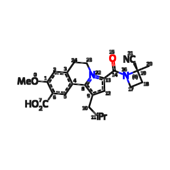 COc1cc2c(cc1C(=O)O)-c1c(CC(C)C)cc(C(=O)N3CC[C@]3(C)C#N)n1CC2